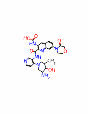 CC1CN(c2ccncc2NC(=O)c2nc3cc(N4CCOCC4=O)ccc3cc2NC(=O)O)CC(N)C1O